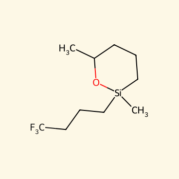 CC1CCC[Si](C)(CCCC(F)(F)F)O1